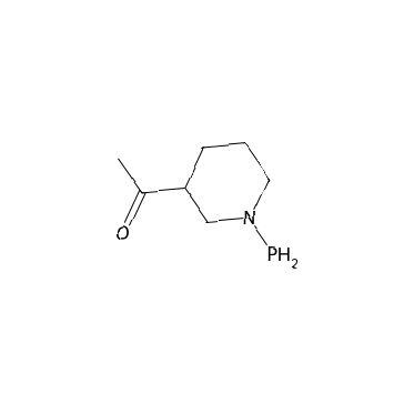 CC(=O)C1CCCN(P)C1